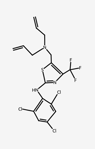 C=CCN(CC=C)Cc1sc(Nc2c(Cl)cc(Cl)cc2Cl)nc1C(F)(F)F